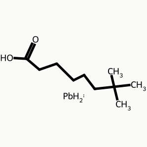 CC(C)(C)CCCCCC(=O)O.[PbH2]